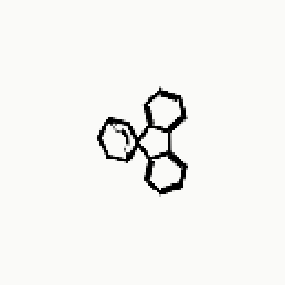 [c]1ccc2c(c1)C1(CC3CCCC1CC3)c1c[c]ccc1-2